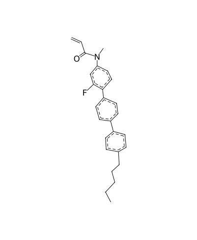 C=CC(=O)N(C)c1ccc(-c2ccc(-c3ccc(CCCCC)cc3)cc2)c(F)c1